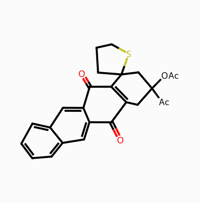 CC(=O)OC1(C(C)=O)CC2=C(C(=O)c3cc4ccccc4cc3C2=O)C2(CCCS2)C1